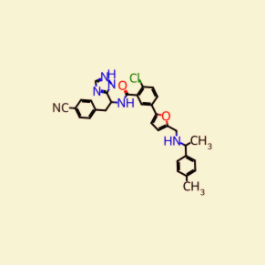 Cc1ccc(C(C)NCc2ccc(-c3ccc(Cl)c(C(=O)NC(Cc4ccc(C#N)cc4)c4ncn[nH]4)c3)o2)cc1